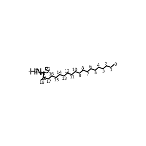 CCCCCCCCCCCCCCCCCCC(C)C([NH])=S